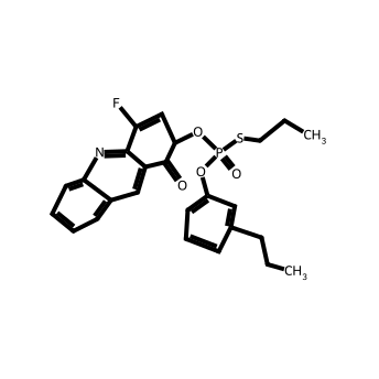 CCCSP(=O)(Oc1cccc(CCC)c1)OC1C=C(F)c2nc3ccccc3cc2C1=O